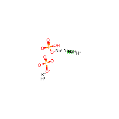 Cl.O=P([O-])([O-])O.O=P([O-])([O-])[O-].[H+].[H+].[K+].[Na+].[Na+].[NaH]